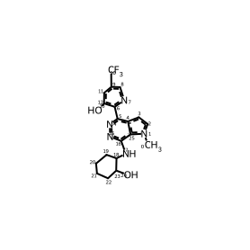 Cn1ccc2c(-c3ncc(C(F)(F)F)cc3O)nnc(NC3CCCCC3O)c21